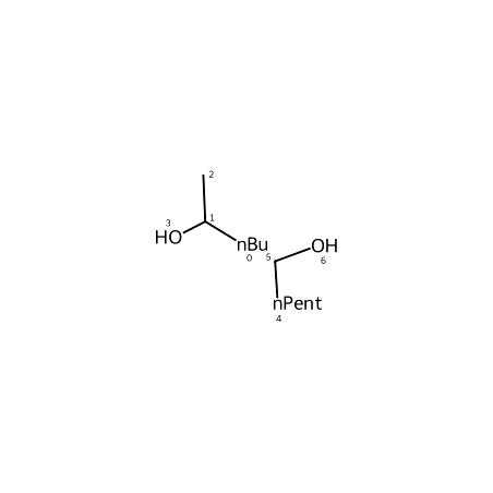 CCCCC(C)O.CCCCCCO